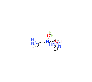 CC(=O)[C@H](CCN(CCCCc1ccc2c(n1)NCCC2)CCOC(F)F)Nc1c2ccccc2nc[n+]1O